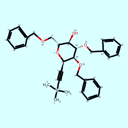 C[Si](C)(C)C#C[C@H]1O[C@H](COCc2ccccc2)[C@@H](O)[C@H](OCc2ccccc2)[C@H]1OCc1ccccc1